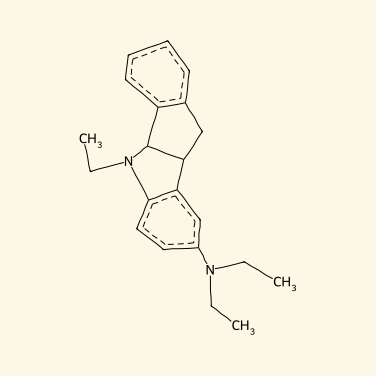 CCN(CC)c1ccc2c(c1)C1Cc3ccccc3C1N2CC